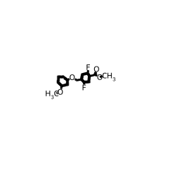 COC(=O)c1cc(F)c(COc2cccc(OC)c2)cc1F